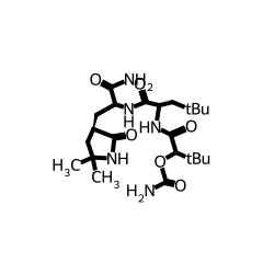 CC(C)(C)CC(NC(=O)C(OC(N)=O)C(C)(C)C)C(=O)NC(C[C@@H]1CC(C)(C)NC1=O)C(N)=O